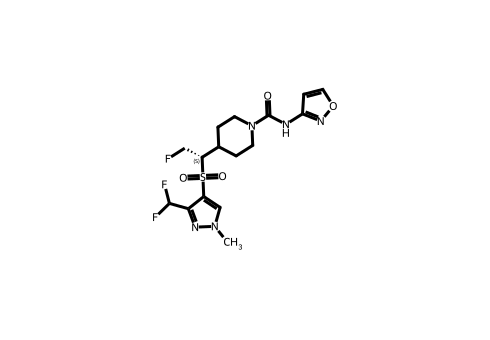 Cn1cc(S(=O)(=O)[C@H](CF)C2CCN(C(=O)Nc3ccon3)CC2)c(C(F)F)n1